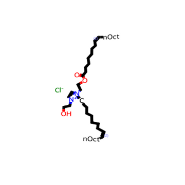 CCCCCCCC/C=C\CCCCCCCCc1n(CCOC(=O)CCCCCCC/C=C\CCCCCCCC)cc[n+]1CCO.[Cl-]